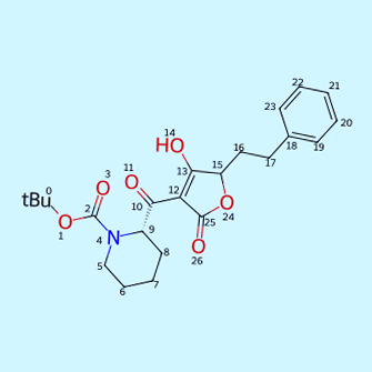 CC(C)(C)OC(=O)N1CCCC[C@H]1C(=O)C1=C(O)C(CCc2ccccc2)OC1=O